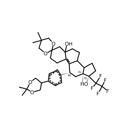 CC1(C)COC2(CCC3=C4C(CCC3(O)C2)C2CC[C@@](O)(C(F)(F)C(F)(F)F)[C@@]2(C)C[C@@H]4c2ccc(C3COC(C)(C)OC3)cc2)OC1